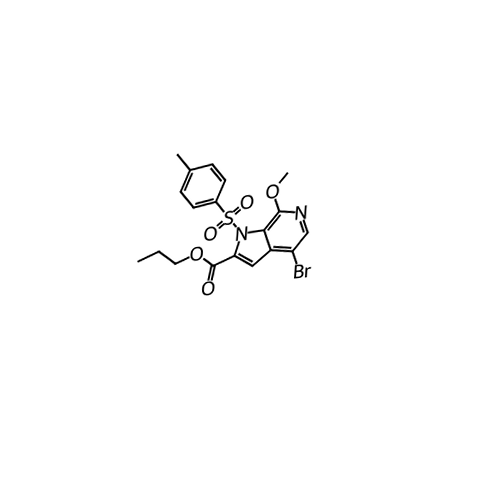 CCCOC(=O)c1cc2c(Br)cnc(OC)c2n1S(=O)(=O)c1ccc(C)cc1